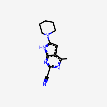 Cc1nc(C#N)nc2[nH]c(N3CCCCC3)cc12